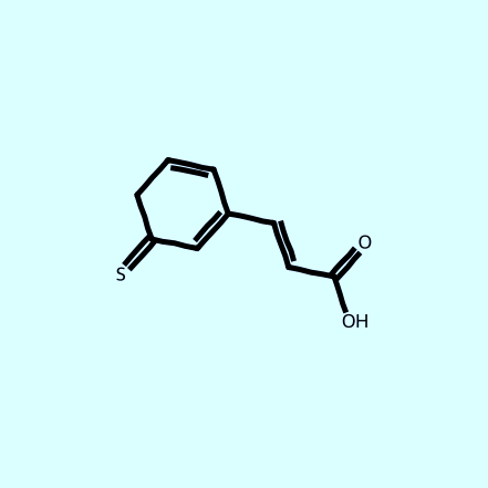 O=C(O)C=CC1=CC(=S)CC=C1